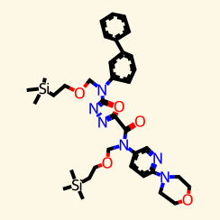 C[Si](C)(C)CCOCN(C(=O)c1nnc(N(COCC[Si](C)(C)C)c2cccc(-c3ccccc3)c2)o1)c1ccc(N2CCOCC2)nc1